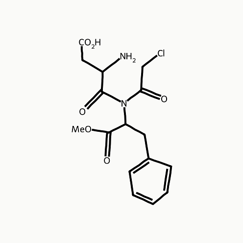 COC(=O)C(Cc1ccccc1)N(C(=O)CCl)C(=O)C(N)CC(=O)O